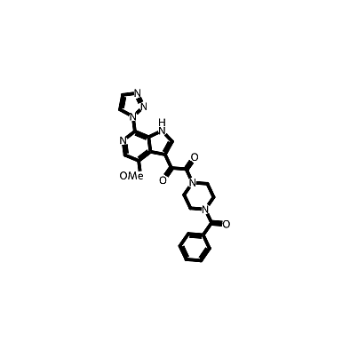 COc1cnc(-n2ccnn2)c2[nH]cc(C(=O)C(=O)N3CCN(C(=O)c4ccccc4)CC3)c12